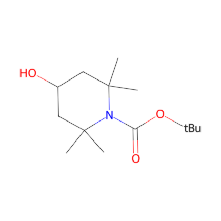 CC(C)(C)OC(=O)N1C(C)(C)CC(O)CC1(C)C